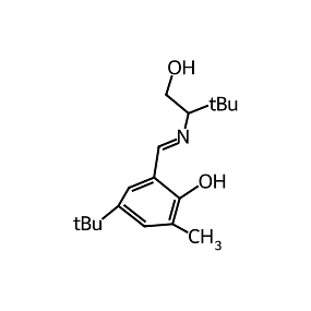 Cc1cc(C(C)(C)C)cc(/C=N/C(CO)C(C)(C)C)c1O